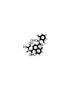 CCC(CO)N(C)C(=O)c1ccc(C(=O)N(C=O)c2c(C)cccc2C)c2c(C)ccc(C=O)c12